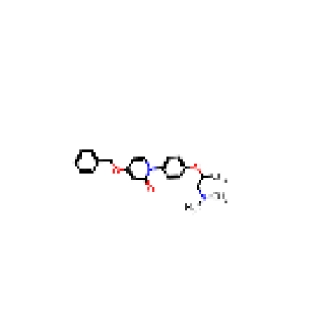 CC(CN(C)C)Oc1ccc(-n2ccc(OCc3ccccc3)cc2=O)cc1